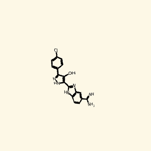 N=C(N)c1ccc2[nH]c(-c3[nH]nc(-c4ccc(Cl)cc4)c3O)nc2c1